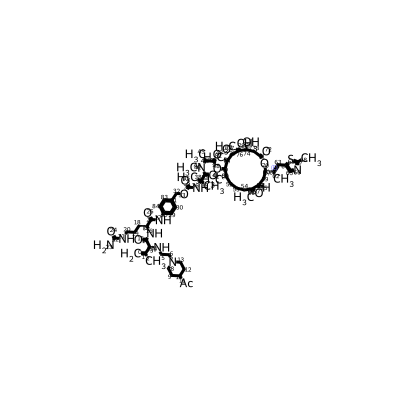 C=C(C)[C@H](NCCN1CCC(C(C)=O)CC1)C(=O)N[C@@H](CCCNC(N)=O)C(=O)Nc1ccc(COC(=O)NC(C)(C)C(=O)N(C)[C@@H](C)C(=O)OC2[C@@H](C)CCC[C@@]3(C)O[C@H]3C[C@@H](/C(C)=C/c3cnc(C)s3)OC(=O)C[C@H](O)C(C)(C)C(=O)[C@@H]2C)cc1